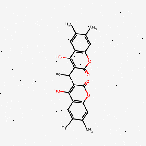 CC(=O)C(c1c(O)c2cc(C)c(C)cc2oc1=O)c1c(O)c2cc(C)c(C)cc2oc1=O